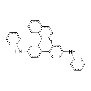 Ic1ccc2ccccc2c1-c1cc(Nc2ccccc2)ccc1-c1ccc(Nc2ccccc2)cc1